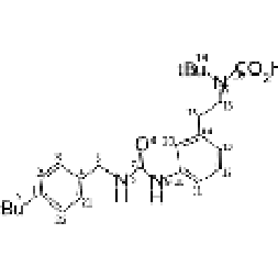 CC(C)(C)c1ccc(CNC(=O)Nc2cccc(CCN(C(=O)O)C(C)(C)C)c2)cc1